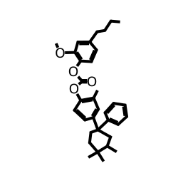 CCCCc1ccc(OC(=O)Oc2ccc(C3(c4ccccc4)CCC(C)(C)C(C)C3)cc2C)c(OC)c1